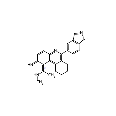 CN/C(C)=C1\C(=N)C=Cc2nc(-c3ccc4[nH]ncc4c3)c3c(c21)CCCC3